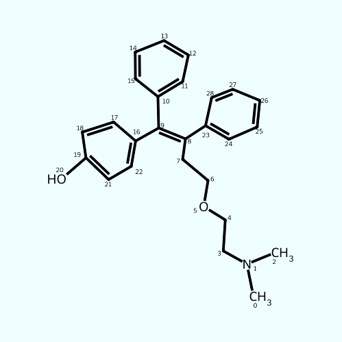 CN(C)CCOCCC(=C(c1ccccc1)c1ccc(O)cc1)c1ccccc1